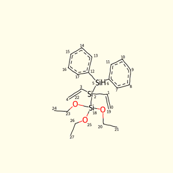 C=C[Si](C=C)([SiH](c1ccccc1)c1ccccc1)[Si](OCC)(OCC)OCC